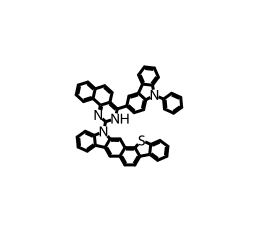 c1ccc(-n2c3ccccc3c3cc(C4=c5ccc6ccccc6c5=NC(n5c6ccccc6c6cc7ccc8c9ccccc9sc8c7cc65)N4)ccc32)cc1